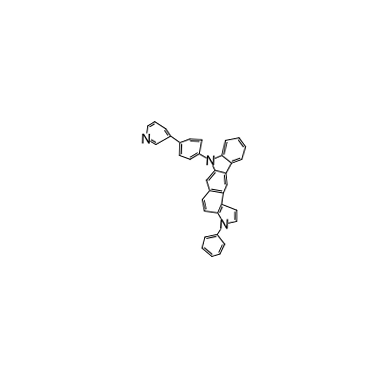 c1ccc(-n2ccc3c4cc5c6ccccc6n(-c6ccc(-c7cccnc7)cc6)c5cc4ccc32)cc1